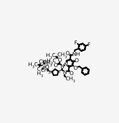 CCN1C(=O)c2c(OCc3ccccc3)c(=O)c(C(=O)NCc3ccc(F)cc3F)cn2N(C(=O)OC(C)(C)C)C1[C@H]1CC[C@@H](CO[Si](C)(C)C(C)(C)C)C1